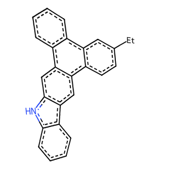 CCc1ccc2c(c1)c1ccccc1c1cc3[nH]c4ccccc4c3cc21